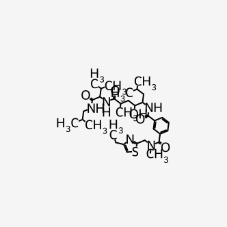 CCc1csc(CN(C)C(=O)c2cccc(C(=O)NC(CC(C)C)C(O)CC(C)C(=O)NC(C(=O)NCC(C)C)C(C)C)c2)n1